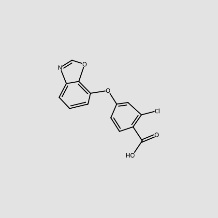 O=C(O)c1ccc(Oc2cccc3ncoc23)cc1Cl